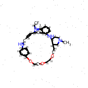 CN1CCC2Nc3cccc4c3cc(n4CC(F)(F)F)C#CCNc3ccc(cc3)OCCOCCOCCC2C1